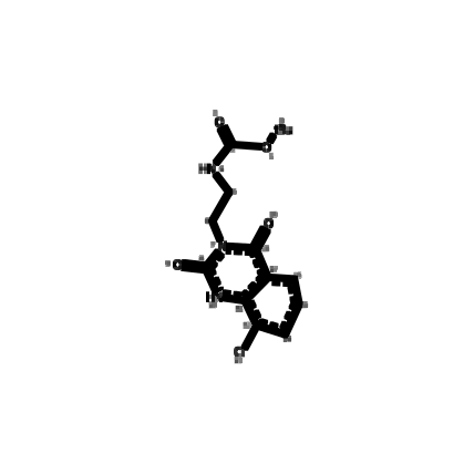 CC(C)(C)OC(=O)NCCn1c(=O)[nH]c2c(Cl)cccc2c1=O